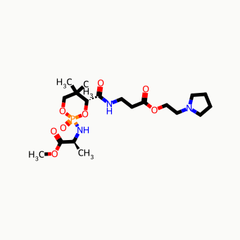 COC(=O)[C@H](C)NP1(=O)OCC(C)(C)[C@H](C(=O)NCCC(=O)OCCN2CCCC2)O1